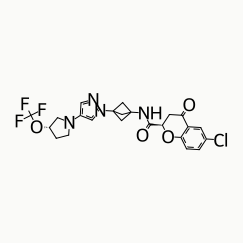 O=C1C[C@H](C(=O)NC23CC(n4cc(N5CC[C@H](OC(F)(F)F)C5)cn4)(C2)C3)Oc2ccc(Cl)cc21